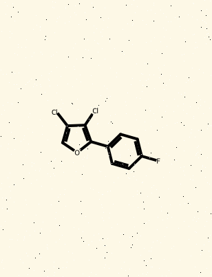 Fc1ccc(-c2occ(Cl)c2Cl)cc1